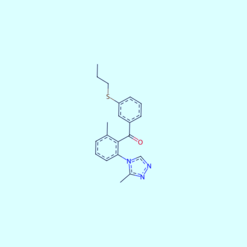 CCCSc1cccc(C(=O)c2c(C)cccc2-n2cnnc2C)c1